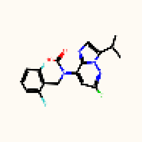 CC(C)c1cnc2c(N(Cc3c(F)cccc3F)C(=O)O)cc(Cl)nn12